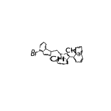 CC1=Cc2c(Br)cccc2C1CC1C(C)=C(c2cccc3ccccc23)c2ccccc21